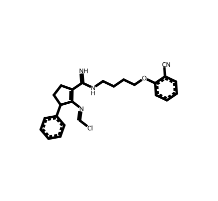 N#Cc1ccccc1OCCCCNC(=N)C1=C(/N=C/Cl)C(c2ccccc2)CC1